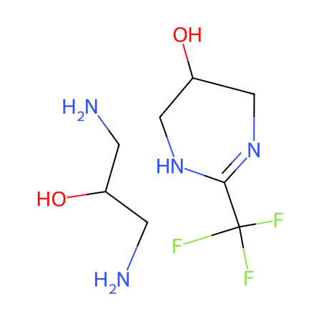 NCC(O)CN.OC1CN=C(C(F)(F)F)NC1